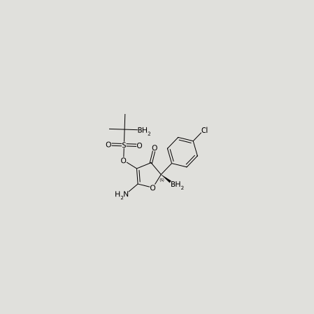 BC(C)(C)S(=O)(=O)OC1=C(N)O[C@@](B)(c2ccc(Cl)cc2)C1=O